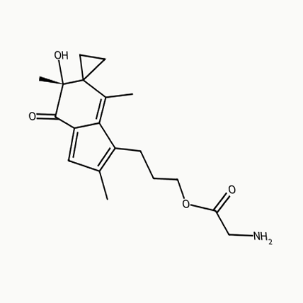 CC1=C(CCCOC(=O)CN)C2=C(C)C3(CC3)[C@@](C)(O)C(=O)C2=C1